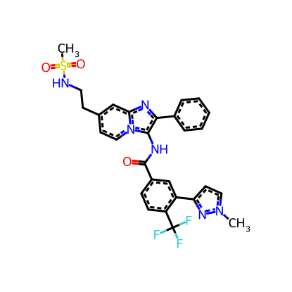 Cn1ccc(-c2cc(C(=O)Nc3c(-c4ccccc4)nc4cc(CCNS(C)(=O)=O)ccn34)ccc2C(F)(F)F)n1